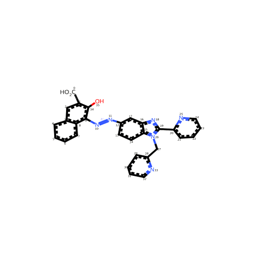 O=C(O)c1cc2ccccc2c(/N=N/c2ccc3c(c2)nc(-c2ccccn2)n3Cc2ccccn2)c1O